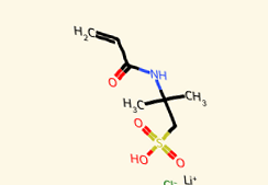 C=CC(=O)NC(C)(C)CS(=O)(=O)O.[Cl-].[Li+]